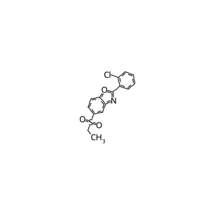 CCS(=O)(=O)c1ccc2oc(-c3ccccc3Cl)nc2c1